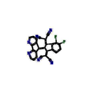 N#CC(C#N)=C1C(=C2c3cccnc3-c3ncccc32)C(=C(C#N)C#N)c2c1ccc(F)c2F